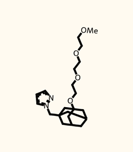 COCCOCCOCCOC12CC3CC(CC(Cn4cccn4)(C3)C1)C2